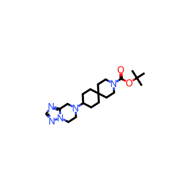 CC(C)(C)OC(=O)N1CCC2(CCC(N3CCn4ncnc4C3)CC2)CC1